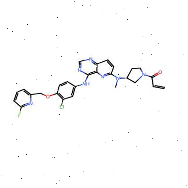 C=CC(=O)N1CC[C@H](N(C)c2ccc3ncnc(Nc4ccc(OCc5cccc(F)n5)c(Cl)c4)c3n2)C1